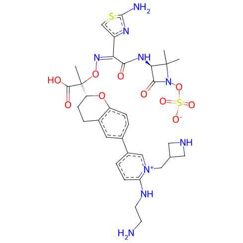 CC(O/N=C(\C(=O)N[C@@H]1C(=O)N(OS(=O)(=O)[O-])C1(C)C)c1csc(N)n1)(C(=O)O)[C@H]1CCc2cc(-c3ccc(NCCN)[n+](CC4CNC4)c3)ccc2O1